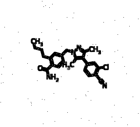 CCCCc1cc(Cn2nc(C)c(-c3ccc(C#N)c(Cl)c3)c2C)ccc1C(N)=O